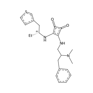 CC[C@H](Cc1ccsc1)Nc1c(NCC(Cc2ccccc2)N(C)C)c(=O)c1=O